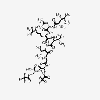 CC[C@H](C)[C@H](NC(=O)[C@@H](CCCNC(=N)N)NC(=O)[C@H](CC(C)C)NC(=O)[C@@H](N)[C@H](O)C(C)C)C(=O)N[C@H](C(=O)NCC(=O)N[C@@H](COC(=O)C(F)(F)F)C(=O)N[C@@H](COC(=O)C(F)(F)F)C(=O)O)[C@H](C)O